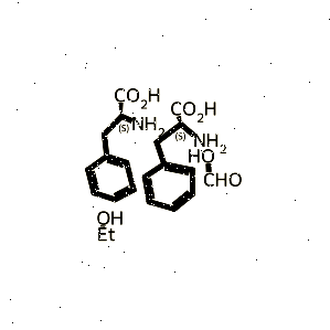 CCO.N[C@@H](Cc1ccccc1)C(=O)O.N[C@@H](Cc1ccccc1)C(=O)O.O=CO